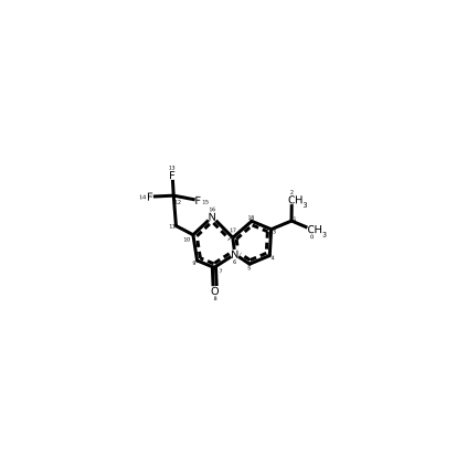 CC(C)c1ccn2c(=O)cc(CC(F)(F)F)nc2c1